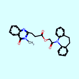 Cn1c(CCC(=O)OCC(=O)N2c3ccccc3CCc3ccccc32)nc2ccccc2c1=O